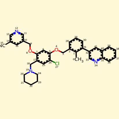 Cc1c(COc2cc(OCc3cncc(C#N)c3)c(CN3CCCCC3)cc2Cl)cccc1-c1cnc2ccccc2c1